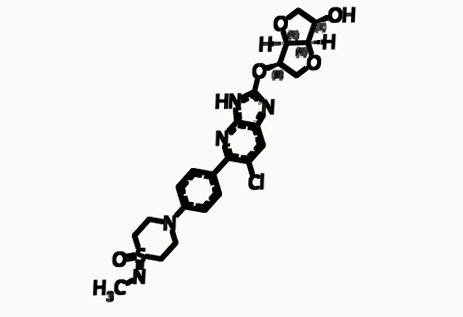 CN=S1(=O)CCN(c2ccc(-c3nc4[nH]c(O[C@@H]5CO[C@H]6[C@@H]5OC[C@H]6O)nc4cc3Cl)cc2)CC1